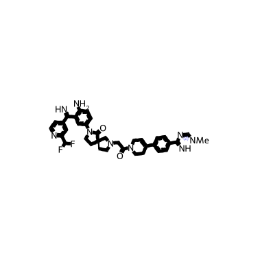 CN/C=N\C(=N)c1ccc(C2=CCN(C(=O)CN3CC[C@]4(CCN(c5ccc(N)c(C(=N)c6ccnc(C(F)F)c6)c5)C4=O)C3)CC2)cc1